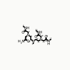 CNC(=O)CN(CCN(C)CCN(CC(=O)NC)CC(=O)NC)CC(N)=O